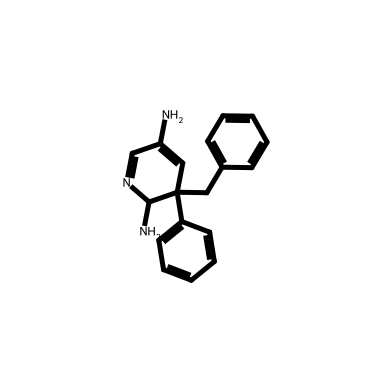 NC1=CC(Cc2ccccc2)(c2ccccc2)C(N)N=C1